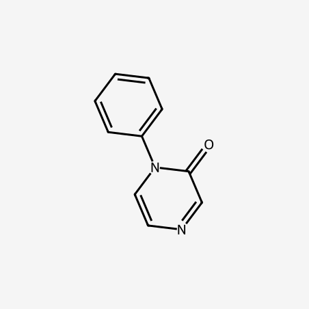 O=c1cnccn1-c1ccccc1